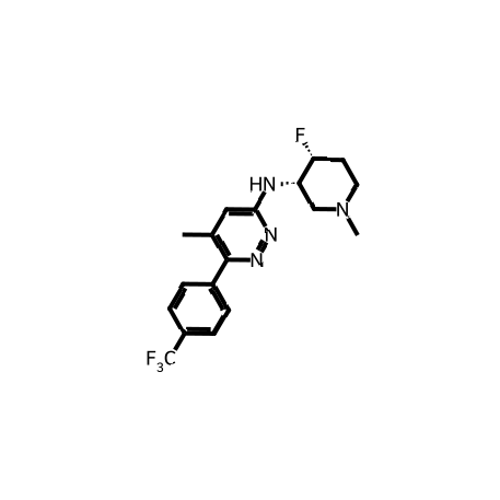 Cc1cc(N[C@H]2CN(C)CC[C@H]2F)nnc1-c1ccc(C(F)(F)F)cc1